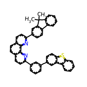 CC1(C)c2ccccc2-c2ccc(-c3ccc4ccc5ccc(-c6cccc(-c7ccc8sc9ccccc9c8c7)c6)nc5c4n3)cc21